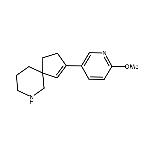 COc1ccc(C2=CC3(CCCNC3)CC2)cn1